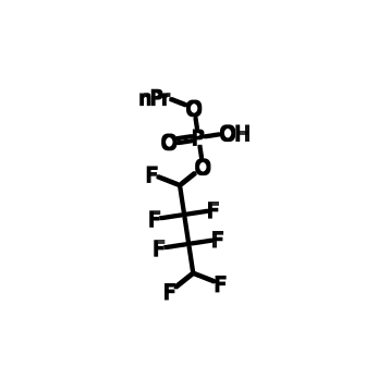 CCCOP(=O)(O)OC(F)C(F)(F)C(F)(F)C(F)F